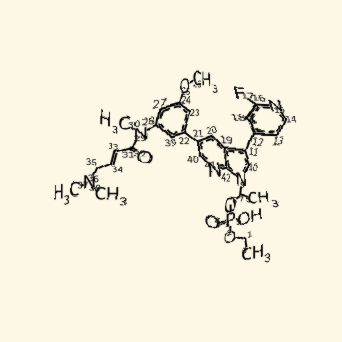 CCOP(=O)(O)OC(C)n1cc(-c2ccnc(F)c2)c2cc(-c3cc(OC)cc(N(C)C(=O)C=CCN(C)C)c3)cnc21